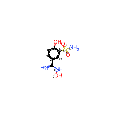 N=C(NO)c1ccc(O)c(S(N)(=O)=O)c1